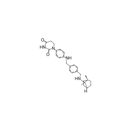 CC1(C)[C@@H]2CC[C@@]1(C)[C@@H](NCc1ccc(CNc3ccc(N4CCC(=O)NC4=O)cc3)cc1)C2